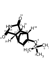 C[Si](C)(C)OC1=CC2CC[C@@H]1[C@H]1C(=O)NC(=O)[C@@H]21